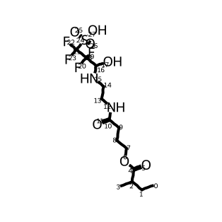 CCC(C)C(=O)OCCCC(=O)NCCNC(O)C(F)(F)C(F)(F)S(=O)(=O)O